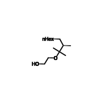 CCCCCCCC(C)C(C)(C)OCCO